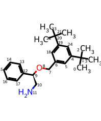 CC(C)(C)c1cc(CO[C@@H](CN)c2ccccc2)cc(C(C)(C)C)c1